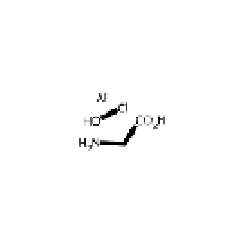 NCC(=O)O.OCl.[Al]